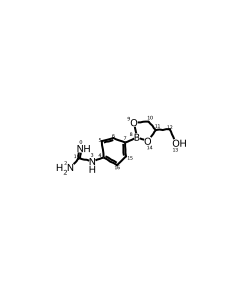 N=C(N)Nc1ccc(B2OCC(CO)O2)cc1